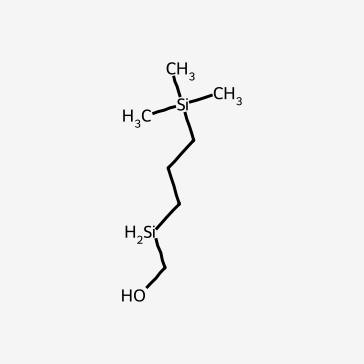 C[Si](C)(C)CCC[SiH2]CO